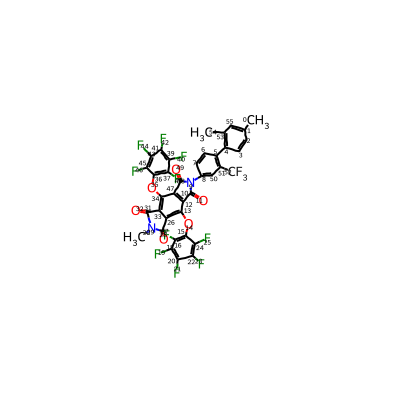 Cc1ccc(-c2ccc(-n3c(=O)c4c(Oc5c(F)c(F)c(F)c(F)c5F)c5c(=O)n(C)c(=O)c5c(Oc5c(F)c(F)c(F)c(F)c5F)c4c3=O)cc2C(F)(F)F)c(C)c1